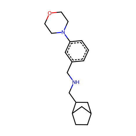 c1cc(CNCC2CC3CCC2C3)cc(N2CCOCC2)c1